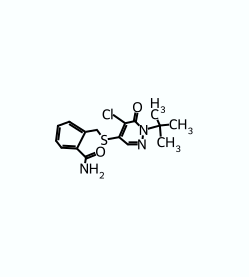 CC(C)(C)n1ncc(SCc2ccccc2C(N)=O)c(Cl)c1=O